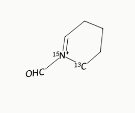 O=[13CH][15N+]1=CCCC[13CH2]1